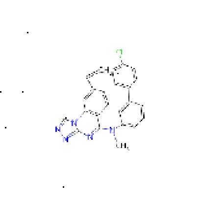 C=Cc1ccc2c(N(C)c3cccc(-c4ccc(Cl)cc4)c3)nc3nncn3c2c1